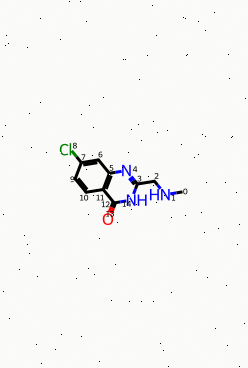 CNCc1nc2cc(Cl)ccc2c(=O)[nH]1